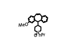 CCC[N+]1([O-])CCC(C2c3ccccc3C=Cc3ccc(OC)cc32)CC1